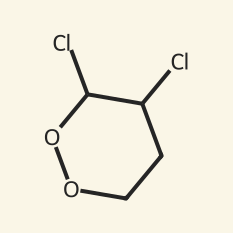 ClC1CCOOC1Cl